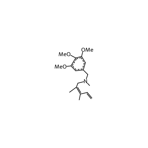 C=CC(C)=C(C)CN(C)Cc1cc(OC)c(OC)c(OC)c1